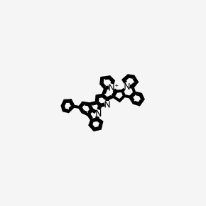 c1ccc(-c2cc3c4ccccc4n4c5nc6c7c([n+]8ccccc8c6cc5c(c2)c34)C2C(C7)c3ccccc3-c3cccc[n+]32)cc1